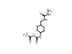 NNC(=O)NCC1CCC(OC(=O)OC(=O)C(F)(F)F)CC1